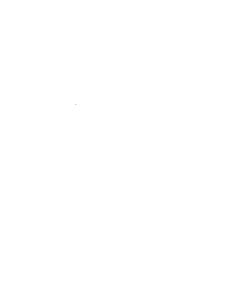 Oc1cc(Br)c2cc(Br)ccc2c1